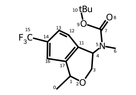 CC1OCC(N(C)C(=O)OC(C)(C)C)c2ccc(C(F)(F)F)cc21